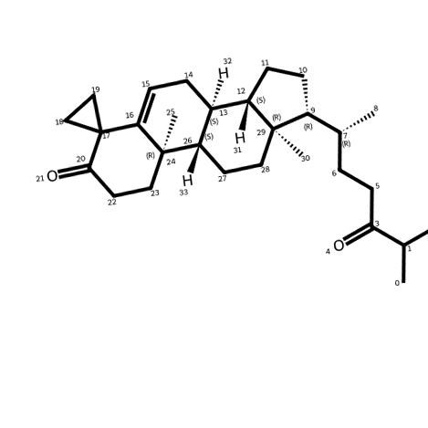 CC(C)C(=O)CC[C@@H](C)[C@H]1CC[C@H]2[C@@H]3CC=C4C5(CC5)C(=O)CC[C@]4(C)[C@H]3CC[C@]12C